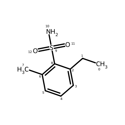 CCc1cccc(C)c1S(N)(=O)=O